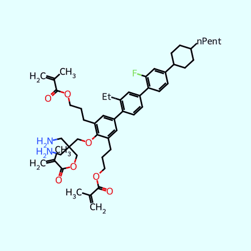 C=C(C)C(=O)OCCCc1cc(-c2ccc(-c3ccc(C4CCC(CCCCC)CC4)cc3F)cc2CC)cc(CCCOC(=O)C(=C)C)c1OCC(CN)(CN)COC(=O)C(=C)C